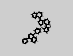 c1ccc(-c2ccc(-c3ccc(N(c4ccc(-c5cccc6ccccc56)cc4)c4cccc5sc6ccccc6c45)cc3)c3ccccc23)cc1